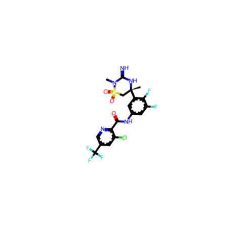 CN1C(=N)N[C@](C)(c2cc(NC(=O)c3ncc(C(F)(F)F)cc3Cl)cc(F)c2F)CS1(=O)=O